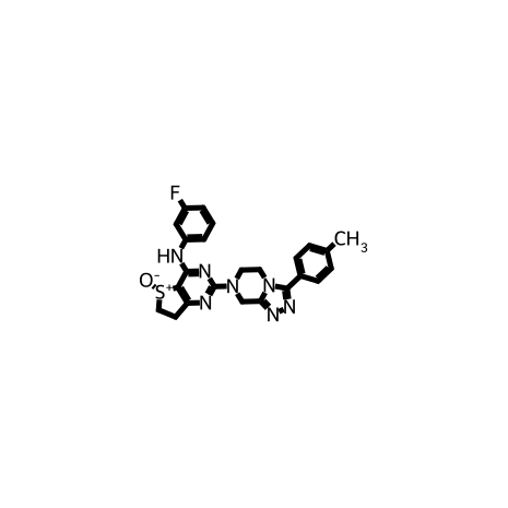 Cc1ccc(-c2nnc3n2CCN(c2nc4c(c(Nc5cccc(F)c5)n2)[S+]([O-])CC4)C3)cc1